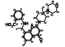 Cc1cc(C(C)Nc2ccccc2C(=O)O)c2oc(N3CCC(C)(N4CCOCC4)CC3)cc(=O)c2c1